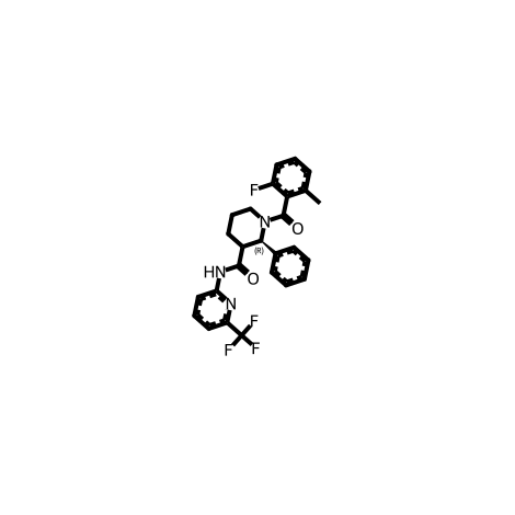 Cc1cccc(F)c1C(=O)N1CCCC(C(=O)Nc2cccc(C(F)(F)F)n2)[C@@H]1c1ccccc1